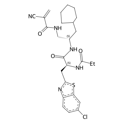 C=C(C#N)C(=O)NC[C@H](CC1CCCCC1)NC(=O)[C@H](Cc1nc2ccc(Cl)cc2s1)NC(=O)CC